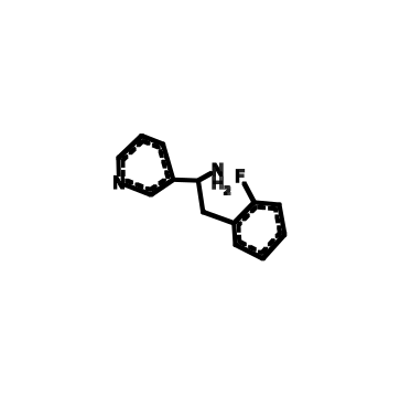 NC(Cc1ccccc1F)c1cccnc1